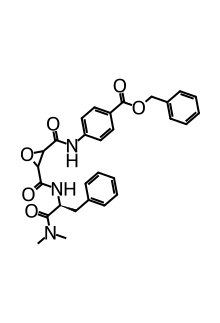 CN(C)C(=O)[C@H](Cc1ccccc1)NC(=O)C1OC1C(=O)Nc1ccc(C(=O)OCc2ccccc2)cc1